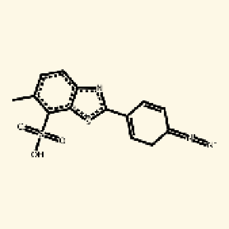 Cc1ccc2nc(C3=CCC(=[N+]=[N-])C=C3)sc2c1S(=O)(=O)O